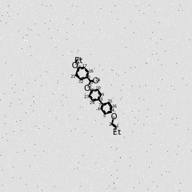 CCC=COc1ccc(-c2ccc(OC(=O)c3ccc(OCC)cc3)cc2)cc1